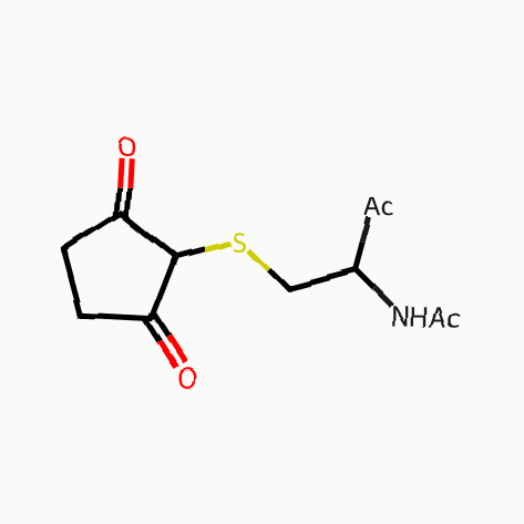 CC(=O)NC(CSC1C(=O)CCC1=O)C(C)=O